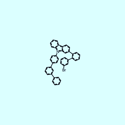 Brc1cccc(-c2ccccc2-c2ccc3c4ccccc4n(-c4ccc(-c5cccc(-c6ccccc6)c5)cc4)c3c2)c1